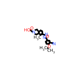 Cc1c(-c2noc(-c3ccc(OC(C)C)c(C#N)c3)n2)ccc2c1CCN(CC(=O)O)CC2